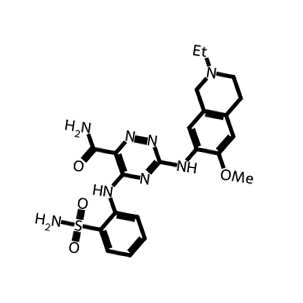 CCN1CCc2cc(OC)c(Nc3nnc(C(N)=O)c(Nc4ccccc4S(N)(=O)=O)n3)cc2C1